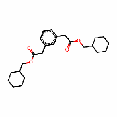 O=C(Cc1cccc(CC(=O)OCC2CCCCC2)c1)OCC1CCCCC1